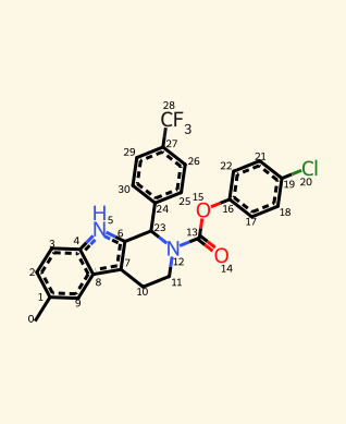 Cc1ccc2[nH]c3c(c2c1)CCN(C(=O)Oc1ccc(Cl)cc1)C3c1ccc(C(F)(F)F)cc1